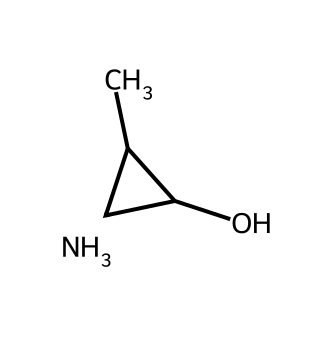 CC1CC1O.N